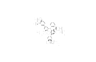 COc1c(C)cc(-c2ccc(O)c(C)c2)cc1C(c1ccccc1)c1cc(-c2ccc(O)c(PI)c2)cc(C)c1O